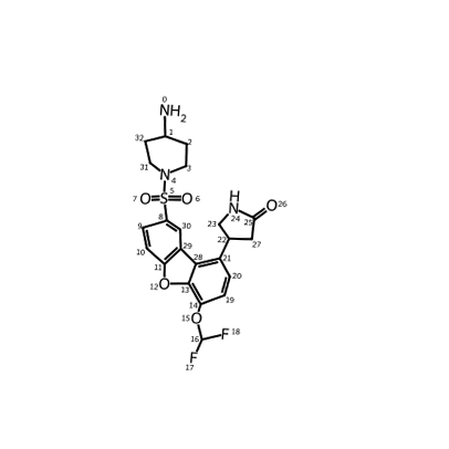 NC1CCN(S(=O)(=O)c2ccc3oc4c(OC(F)F)ccc(C5CNC(=O)C5)c4c3c2)CC1